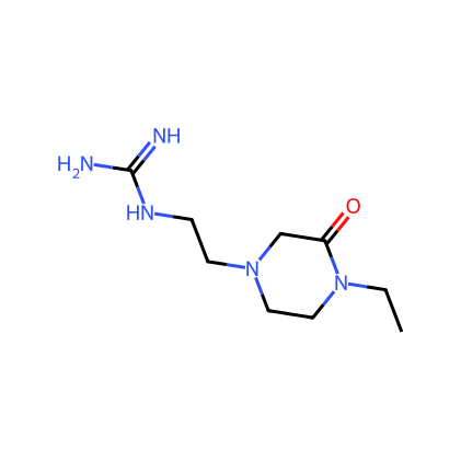 CCN1CCN(CCNC(=N)N)CC1=O